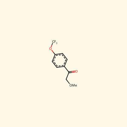 COCC(=O)c1ccc(OC(F)(F)F)cc1